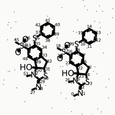 CN=C1SC2Cc3cc(Sc4ccccc4)c(S(C)(=O)=O)cc3C2(O)N1C.CN=C1SC2Cc3cc(Sc4ccccc4)c(S(C)(=O)=O)cc3C2(O)N1C